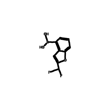 OB(O)c1cccc2oc(C(F)F)cc12